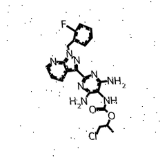 CC(CCl)OC(=O)Nc1c(N)nc(-c2nn(Cc3ccccc3F)c3ncccc23)nc1N